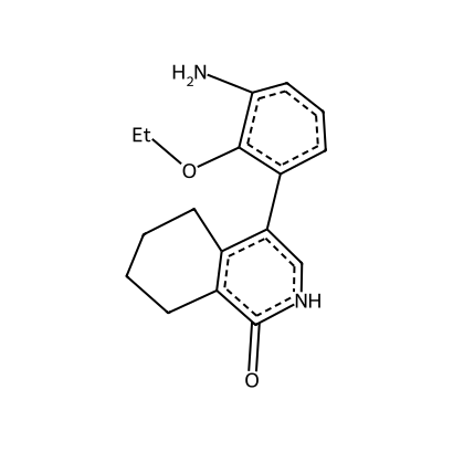 CCOc1c(N)cccc1-c1c[nH]c(=O)c2c1CCCC2